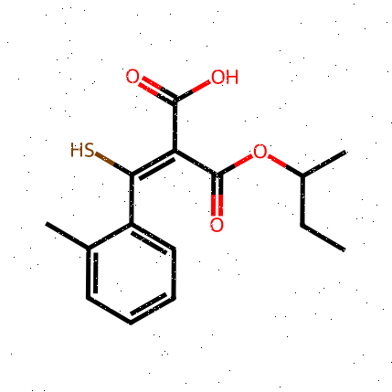 CCC(C)OC(=O)C(C(=O)O)=C(S)c1ccccc1C